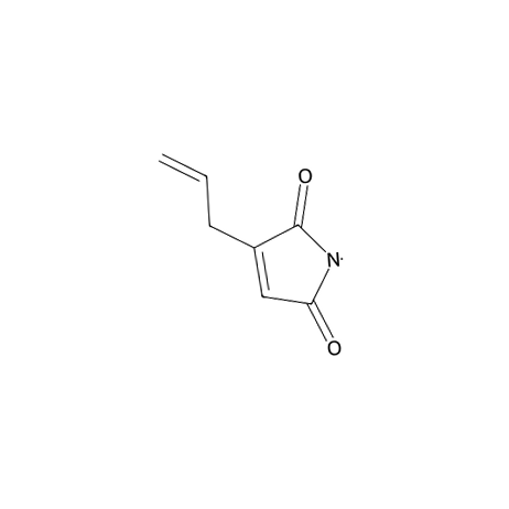 C=CCC1=CC(=O)[N]C1=O